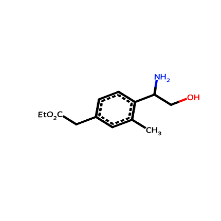 CCOC(=O)Cc1ccc(C(N)CO)c(C)c1